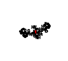 CC1(C)CCOc2c(C(=O)NC3CN4C(=N)N[C@@H](CNC(=O)c5cccnn5)[C@@H]5NC(=N)NC54[C@@H]3O)cccc21